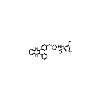 O=C(NC1CCN(Cc2ccc(-c3nc4ccccc4nc3-c3ccccc3)cc2)C1)c1cc(F)cc(F)c1